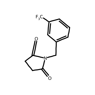 O=C1CCC(=O)N1Cc1cccc(C(F)(F)F)c1